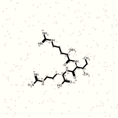 CC[C@H](C)[C@H](NC(=O)[C@@H](N)CCCNC(=N)N)C(=O)N[C@@H](CCCNC(=N)N)C(=O)O